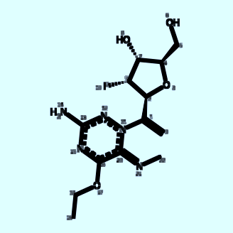 C=C([C@@H]1O[C@H](CO)[C@@H](O)[C@H]1F)n1nc(N)nc(OCC)/c1=N/C